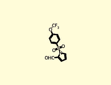 O=Cc1cccn1S(=O)(=O)c1ccc(OC(F)(F)F)cc1